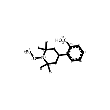 CC(C)(C)ON1C(C)(C)CC(c2ccccc2C(=O)O)CC1(C)C